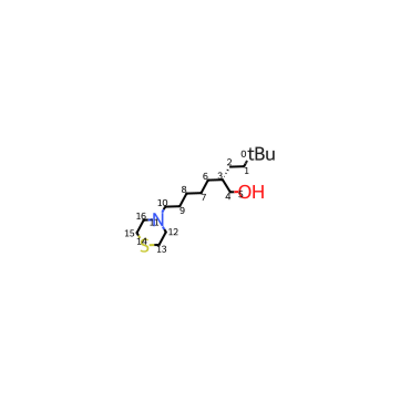 CC(C)(C)CC[C@H](CO)CCCCCN1CCSCC1